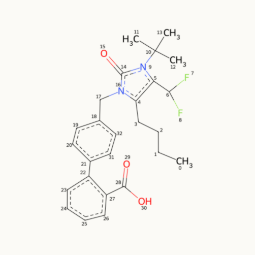 CCCCc1c(C(F)F)n(C(C)(C)C)c(=O)n1Cc1ccc(-c2ccccc2C(=O)O)cc1